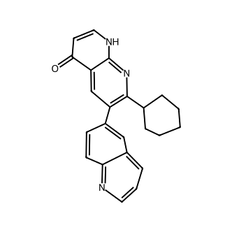 O=c1cc[nH]c2nc(C3CCCCC3)c(-c3ccc4ncccc4c3)cc12